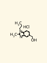 CCCn1c(C)nc2cc(CO)ccc21.Cl